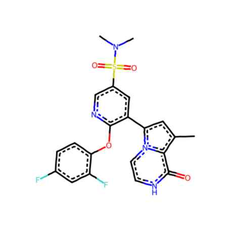 Cc1cc(-c2cc(S(=O)(=O)N(C)C)cnc2Oc2ccc(F)cc2F)n2cc[nH]c(=O)c12